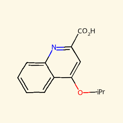 CC(C)Oc1cc(C(=O)O)nc2ccccc12